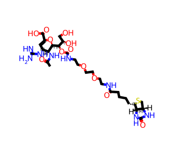 CC(=O)N[C@H]1[C@H]([C@H](OC(=O)NCCOCCOCCNC(=O)CCCC[C@@H]2SC[C@@H]3NC(=O)N[C@@H]32)[C@H](O)CO)OC(C(=O)O)=C[C@@H]1NC(=N)N